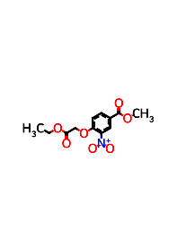 CCOC(=O)COc1ccc(C(=O)OC)cc1[N+](=O)[O-]